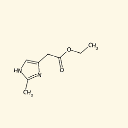 CCOC(=O)Cc1c[nH]c(C)n1